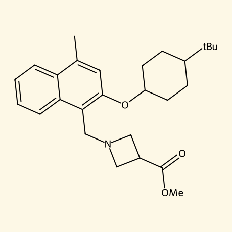 COC(=O)C1CN(Cc2c(OC3CCC(C(C)(C)C)CC3)cc(C)c3ccccc23)C1